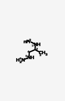 CCCNC(C)CNN